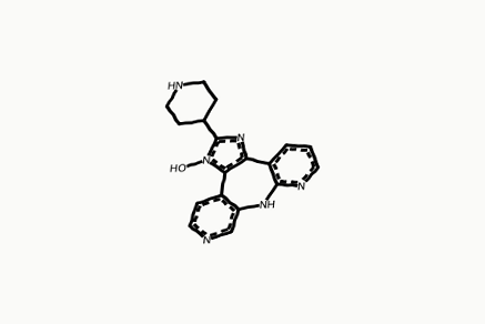 On1c(C2CCNCC2)nc2c1-c1ccncc1Nc1ncccc1-2